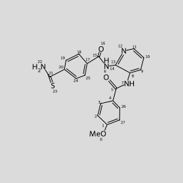 COc1ccc(C(=O)Nc2cccnc2NC(=O)c2ccc(C(N)=S)cc2)cc1